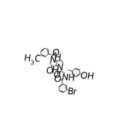 Cc1cccc(C(=O)N2CC(=O)[C@@H]3[C@H]2CCN3C(=O)[C@H](Cc2ccc(O)cc2)NC(=O)c2cccc(Br)c2)c1